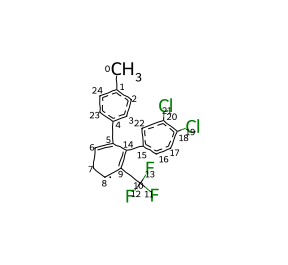 Cc1ccc(C2=CC[CH]C(C(F)(F)F)=C2c2ccc(Cl)c(Cl)c2)cc1